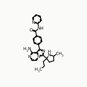 CCCC1(c2nc(-c3ccc(C(=O)Nc4ccccn4)cc3)c3c(N)nccn23)CCC(C)N1